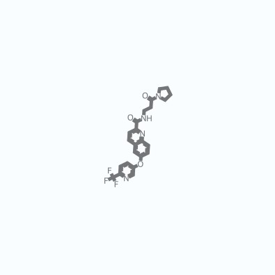 O=C(NCCC(=O)N1CCCC1)c1ccc2cc(Oc3ccc(C(F)(F)F)nc3)ccc2n1